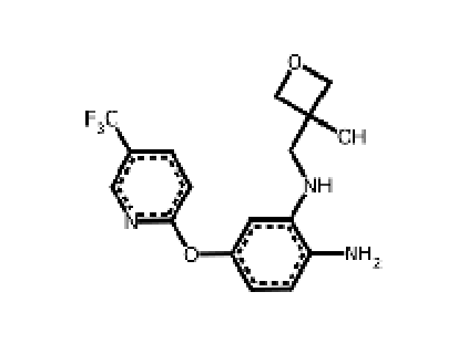 Nc1ccc(Oc2ccc(C(F)(F)F)cn2)cc1NCC1(O)COC1